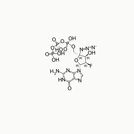 [N-]=[N+]=N[C@]1(COP(=O)(O)OP(=O)(O)OP(=O)(O)O)O[C@@H](n2cnc3c(=O)[nH]c(N)nc32)[C@H](F)[C@@H]1O